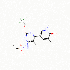 CCS(=O)(=O)Nc1nc(OCC(F)(F)F)nc(-c2cc(C)c(=O)n(C)c2)c1C